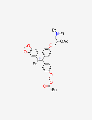 CC/C(=C(\c1ccc(OCOC(=O)C(C)(C)C)cc1)c1ccc(OCC(CN(CC)CC)OC(C)=O)cc1)c1ccc2c(c1)OCO2